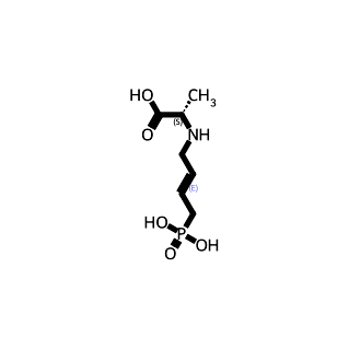 C[C@H](NC/C=C/CP(=O)(O)O)C(=O)O